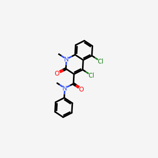 CN(C(=O)c1c(Cl)c2c(Cl)cccc2n(C)c1=O)c1ccccc1